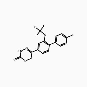 O=C1NN=C(c2ccc(-c3ccc(F)cc3)c(OC(F)(F)F)c2)CO1